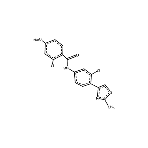 COc1ccc(C(=O)Nc2ccc(-c3csc(C)n3)c(Cl)c2)c(Cl)c1